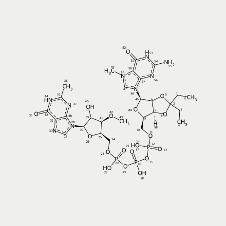 CCC1(CC)OC2[C@@H](O1)[C@@H](COP(=O)(O)OP(=O)(O)OP(=O)(O)OC[C@H]1O[C@@H](n3cnc4c(=O)[nH]c(C)nc43)C(O)[C@H]1OC)O[C@H]2n1c[n+](C)c2c(=O)[nH]c(N)nc21